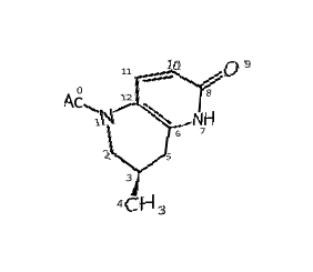 CC(=O)N1C[C@H](C)Cc2[nH]c(=O)ccc21